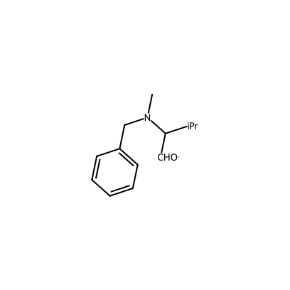 CC(C)C([C]=O)N(C)Cc1ccccc1